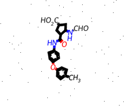 Cc1ccc(Oc2ccc(NC(=O)C3CC(C(=O)O)CC3NC=O)cc2)cc1